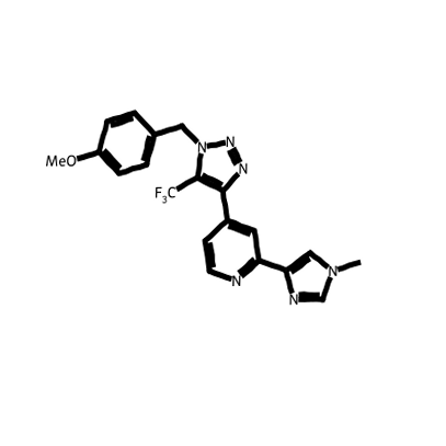 COc1ccc(Cn2nnc(-c3ccnc(-c4cn(C)cn4)c3)c2C(F)(F)F)cc1